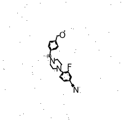 COCc1ccc([C@@H](C)N2CCN(c3ccc(C#N)cc3F)CC2)cc1